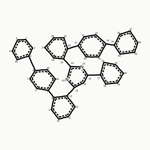 c1ccc(-c2ccc(-c3ccccc3-c3cc(-c4ccccc4)nc(-c4ccccc4-c4ccc(-c5ccccc5)cc4)n3)cc2)cc1